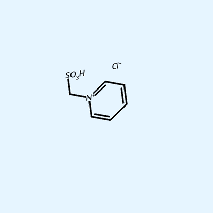 O=S(=O)(O)C[n+]1ccccc1.[Cl-]